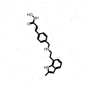 Cc1cc2cccc(CCNCc3ccc(/C=C/C(=O)NO)cc3)c2[nH]1